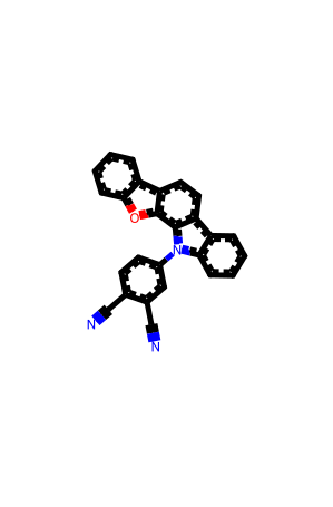 N#Cc1ccc(-n2c3ccccc3c3ccc4c5ccccc5oc4c32)cc1C#N